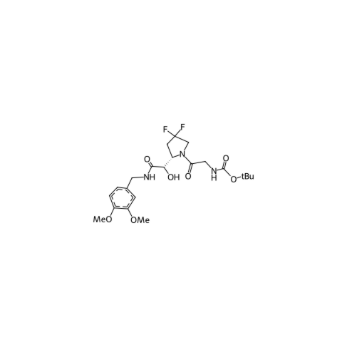 COc1ccc(CNC(=O)C(O)[C@@H]2CC(F)(F)CN2C(=O)CNC(=O)OC(C)(C)C)cc1OC